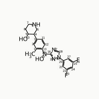 Cc1cc(C2CNCCC2O)ccc1N(O)c1ncn(-c2cc(F)cc(F)c2)n1